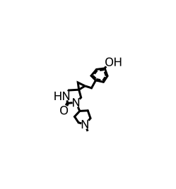 CN1CCC(N2CC3(CNC2=O)CC3Cc2ccc(O)cc2)CC1